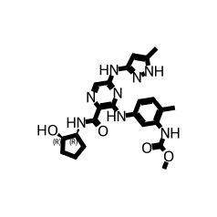 COC(=O)Nc1cc(Nc2nc(Nc3cc(C)[nH]n3)cnc2C(=O)N[C@@H]2CCC[C@H]2O)ccc1C